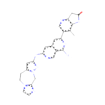 Cc1c(-c2cc3cc(Nc4cc5n(n4)Cc4nccn4CC5)ncc3c(N)n2)cnc2c1NC(=O)C2